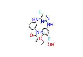 C=CC(=O)Nc1cccc(Nc2nc(Nc3ccc(OC(C)CO)c(F)c3)ncc2F)c1